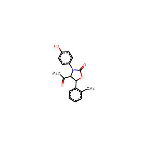 COC(=O)C1C(c2ccccc2OC)OC(=O)N1c1ccc(O)cc1